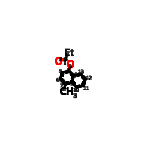 CCC(=O)Oc1ccc(C)c2ccccc12